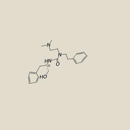 CN(C)CCN(CCc1ccccc1)C(=O)N[C@H](CO)Cc1ccccc1